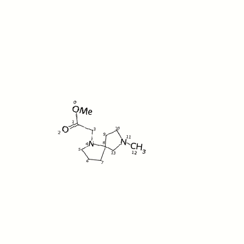 COC(=O)CN1CCCC12CCN(C)C2